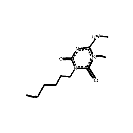 CCCCCCn1c(=O)nc(NC)n(C)c1=O